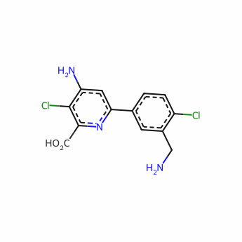 NCc1cc(-c2cc(N)c(Cl)c(C(=O)O)n2)ccc1Cl